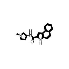 CN1CC[C@@H](NC(=O)c2cc3c(ccc4ccccc43)[nH]2)C1